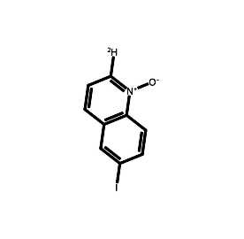 [2H]c1ccc2cc(I)ccc2[n+]1[O-]